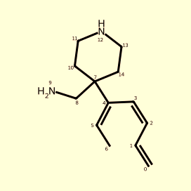 C=C/C=C\C(=C/C)C1(CN)CCNCC1